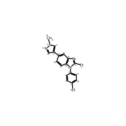 [CH2]Cc1ccc(-n2c(CC)nc3cc(-c4cnn(C)c4)ccc32)cc1